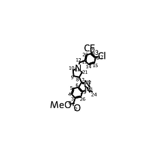 COC(=O)c1ccc2c(C3CCN(Cc4ccc(Cl)c(C(F)(F)F)c4)C3)nn(C)c2c1